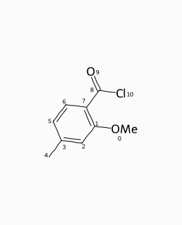 COc1cc(C)ccc1C(=O)Cl